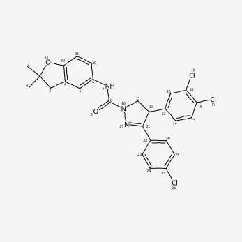 CC1(C)Cc2cc(NC(=O)N3CC(c4ccc(Cl)c(Cl)c4)C(c4ccc(Cl)cc4)=N3)ccc2O1